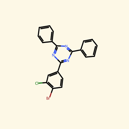 Clc1cc(-c2nc(-c3ccccc3)nc(-c3ccccc3)n2)ccc1Br